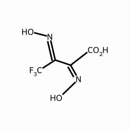 O=C(O)C(=NO)C(=NO)C(F)(F)F